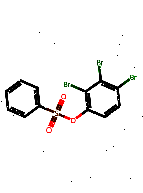 O=S(=O)(Oc1ccc(Br)c(Br)c1Br)c1ccccc1